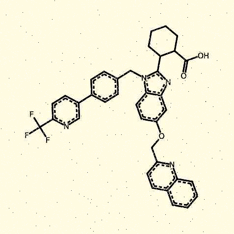 O=C(O)C1CCCCC1c1nc2cc(OCc3ccc4ccccc4n3)ccc2n1Cc1ccc(-c2ccc(C(F)(F)F)nc2)cc1